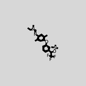 CCN(C)C=Nc1cc(C)c(Oc2cccc(C(O[Si](C)(C)C)C(F)(F)F)c2)cc1C